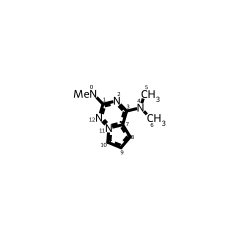 CNc1nc(N(C)C)c2cccn2n1